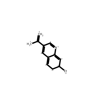 C=C(C)c1cnc2c(c1)=CCC(CC)C=2